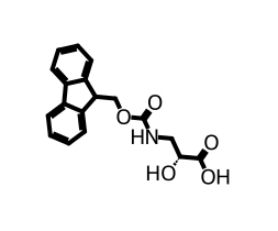 O=C(NC[C@@H](O)C(=O)O)OCC1c2ccccc2-c2ccccc21